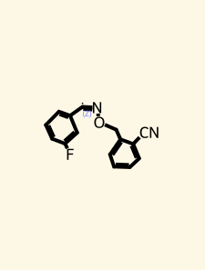 N#Cc1ccccc1CO/N=[C]\c1cccc(F)c1